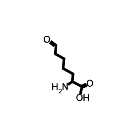 NC(CCCCC=O)C(=O)O